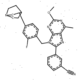 COc1nc(C)c2nc(-c3cccc(C#N)c3)n(Cc3ccc(C4CN5CCC4CC5)cc3F)c2n1